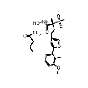 CCCC(N)=O.COc1cccc(-c2cc(CCC(C)(C(=O)NO)S(C)(=O)=O)no2)c1F